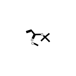 C=CC(=O)OC(C)(C)C.CCl